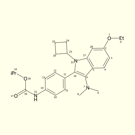 CCOc1ccc2c(N(C)C)c(-c3ccc(NC(=O)OC(C)C)cc3)n(C3CCC3)c2c1